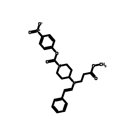 COC(=O)CCN(C=Cc1ccccc1)C1CCN(C(=O)Oc2ccc([N+](=O)[O-])cc2)CC1